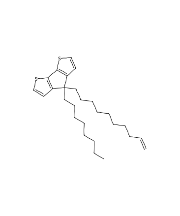 C=CCCCCCCCCC1(CCCCCCCC)c2ccsc2-c2sccc21